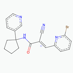 N#C/C(=C\c1cccc(Br)n1)C(=O)NC1(c2cccnc2)CCCC1